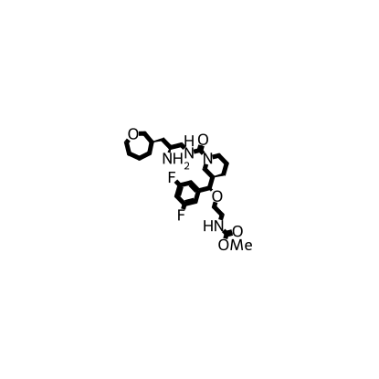 COC(=O)NCCO[C@@H](c1cc(F)cc(F)c1)[C@@H]1CCCN(C(=O)NC[C@@H](N)C[C@H]2CCCCOC2)C1